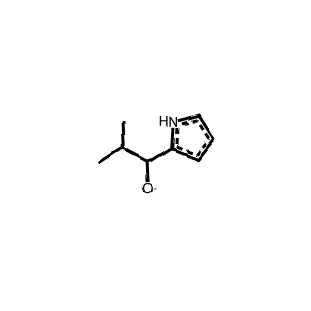 CC(C)C([O])c1ccc[nH]1